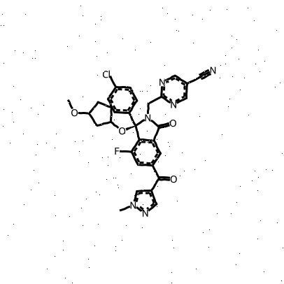 COC1CCC(O[C@]2(c3ccc(Cl)cc3)c3c(F)cc(C(=O)c4cnn(C)c4)cc3C(=O)N2Cc2ncc(C#N)cn2)C1